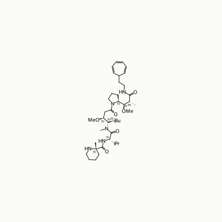 CC[C@H](C)[C@@H]([C@H](CC(=O)N1CCC[C@H]1[C@H](OC)[C@@H](C)C(=O)NCCC1C=CC=CC=C1)OC)N(C)C(=O)[C@@H](NC(=O)[C@]1(C)CCCCN1)C(C)C